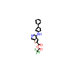 O=C(OC(=O)C(F)(F)F)c1cc2c(Nc3ccc(-c4ccccc4)cc3)cncc2s1